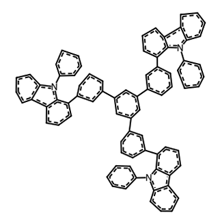 c1ccc(-n2c3ccccc3c3cccc(-c4cccc(-c5cc(-c6cccc(-c7cccc8c9ccccc9n(-c9ccccc9)c78)c6)cc(-c6cccc(-c7cccc8c9ccccc9n(-c9ccccc9)c78)c6)c5)c4)c32)cc1